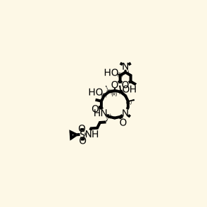 CC1C[C@H](N(C)C)[C@@H](O)C(O[C@@H]2[C@@H](C)[C@H](O)C(C)C(=O)N[C@@H](CCCCNS(=O)(=O)C3CC3)CC(=O)N(C)C[C@H](C)C[C@@]2(C)O)O1